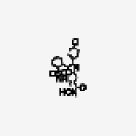 CN(O)C(=O)CCc1nc(-c2ccc(Cl)cc2)c(-c2ccccc2S(N)(=O)=O)o1